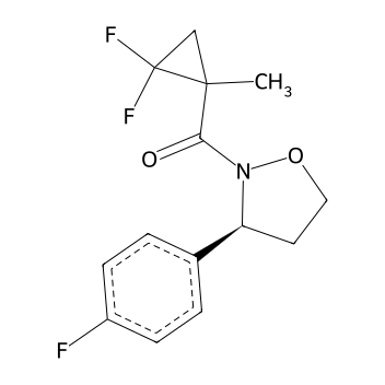 CC1(C(=O)N2OCC[C@H]2c2ccc(F)cc2)CC1(F)F